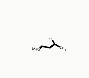 [CH2]OCCC(C)Cl